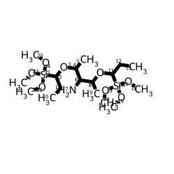 CCC(OC(C)C(N)C(C)OC(CC)[Si](OC)(OC)OC)[Si](OC)(OC)OC